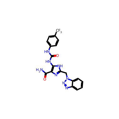 NC(=O)c1nc(Cn2nnc3ccccc32)[nH]c1NC(=O)Nc1ccc(C(F)(F)F)cc1